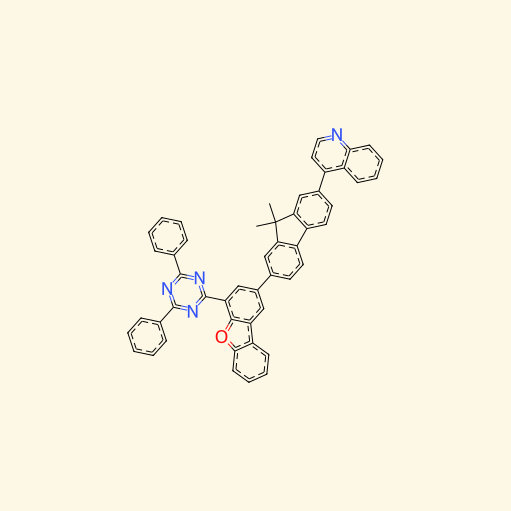 CC1(C)c2cc(-c3cc(-c4nc(-c5ccccc5)nc(-c5ccccc5)n4)c4oc5ccccc5c4c3)ccc2-c2ccc(-c3ccnc4ccccc34)cc21